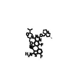 CC(C)C1CN2c3nc(OC[C@@]45CCCN4C[C@H](C)C5)nc4c(F)c(-c5ccc(F)c6sc(N)c(C#N)c56)c(Cl)c(c34)OCC2CO1